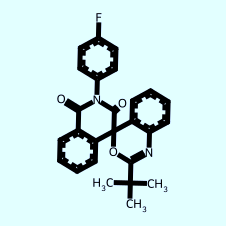 CC(C)(C)C1=Nc2ccccc2C2(O1)C(=O)N(c1ccc(F)cc1)C(=O)c1ccccc12